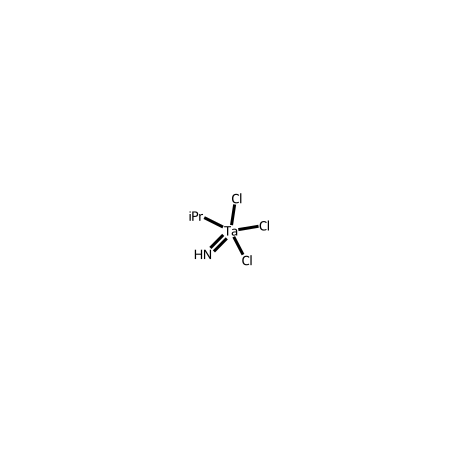 C[CH](C)[Ta](=[NH])([Cl])([Cl])[Cl]